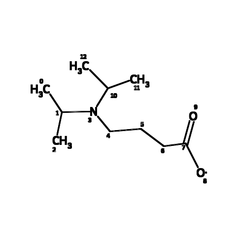 CC(C)N(CCCC([O])=O)C(C)C